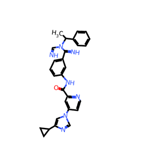 CC(c1ccccc1)N(C=N)C(=N)c1cccc(NC(=O)c2cc(-n3cnc(C4CC4)c3)ccn2)c1